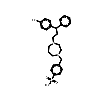 CS(=O)(=O)c1ccc(CN2CCCN(CCC(c3ccccc3)c3ccc(O)cc3)CC2)cc1